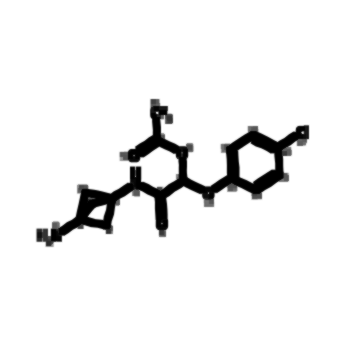 NC12CC(NC(=O)C(OC(=O)C(F)(F)F)Oc3ccc(Cl)cc3)(C1)C2